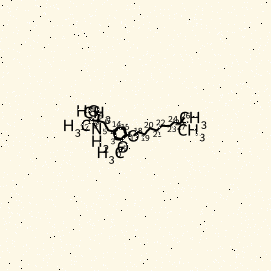 COc1cc(CC[C@@](N)(CO)C(C)C)ccc1OCCCCCCCC(C)C